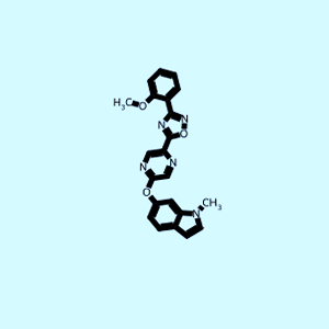 COc1ccccc1-c1noc(-c2cnc(Oc3ccc4c[c]n(C)c4c3)cn2)n1